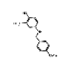 COc1ccc(CNc2ccc(O)c(C(=O)O)c2)cc1